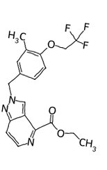 CCOC(=O)c1nccc2nn(Cc3ccc(OCC(F)(F)F)c(C)c3)cc12